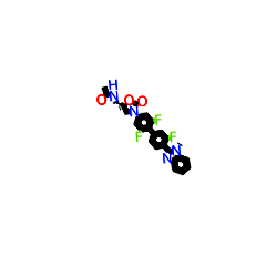 CC(=O)NC[C@H]1CN(c2cc(F)c(-c3ccc(-c4nc5ccccc5n4C)c(F)c3)c(F)c2)C(=O)O1